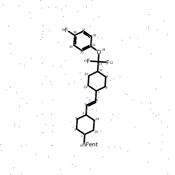 CCCCCC1CCC(/C=C/C2CCC(C(F)(F)Oc3ccc(F)cc3)CC2)CC1